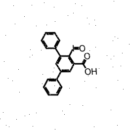 O=Ic1c(C(=O)O)cc(-c2ccccc2)cc1-c1ccccc1